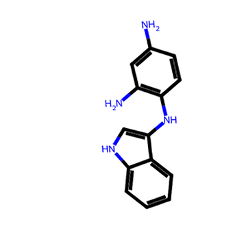 Nc1ccc(Nc2c[nH]c3ccccc23)c(N)c1